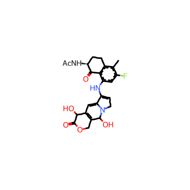 CC(=O)N[C@H]1CCc2c(C)c(F)cc(NC3=CCN4C3=CC3=C(COC(=O)C3O)C4O)c2C1=O